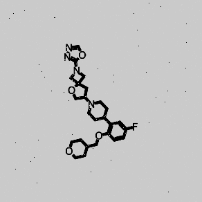 Fc1ccc(OCC2CCOCC2)c(C2CCN(C3COC4(C3)CN(c3nnco3)C4)CC2)c1